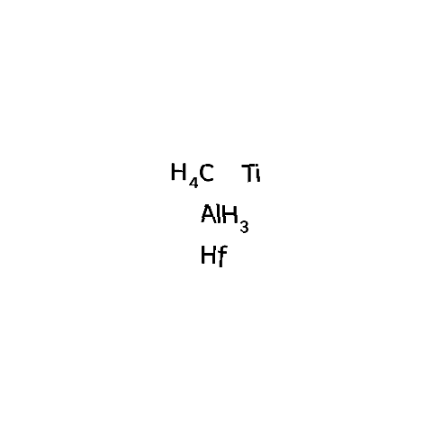 C.[AlH3].[Hf].[Ti]